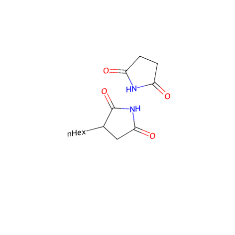 CCCCCCC1CC(=O)NC1=O.O=C1CCC(=O)N1